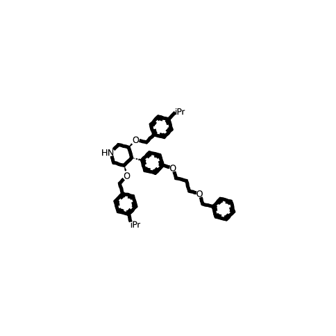 CC(C)c1ccc(CO[C@H]2CNC[C@@H](OCc3ccc(C(C)C)cc3)[C@H]2c2ccc(OCCCOCc3ccccc3)cc2)cc1